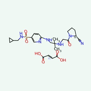 CC(C)(CNc1ccc(S(=O)(=O)NCC2CC2)cn1)NCC(=O)N1CCC[C@H]1C#N.O=C(O)/C=C/C(=O)O